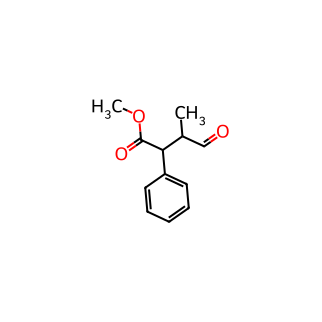 COC(=O)C(c1ccccc1)C(C)C=O